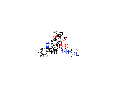 CN(C)CCNC(=O)CO[C@H]1C[C@H]2Cc3c([nH]c4ccccc34)[C@]2(C)[C@@]2(C)CC[C@@]34O[C@@H](C(=O)C=C3[C@]12O)C(C)(C)O4